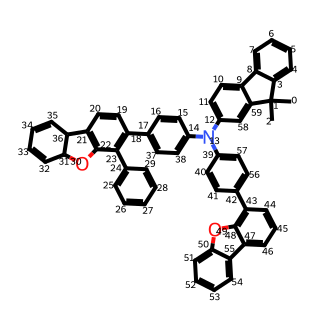 CC1(C)c2ccccc2-c2ccc(N(c3ccc(-c4ccc5c(c4-c4ccccc4)OC4C=CC=CC54)cc3)c3ccc(-c4cccc5c4oc4ccccc45)cc3)cc21